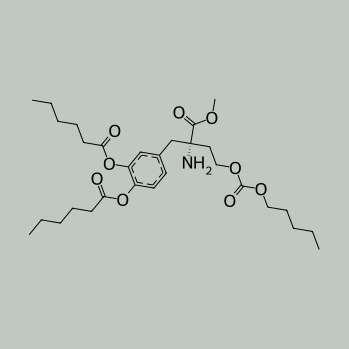 CCCCCOC(=O)OCC[C@@](N)(Cc1ccc(OC(=O)CCCCC)c(OC(=O)CCCCC)c1)C(=O)OC